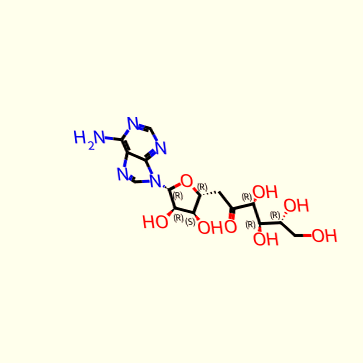 Nc1ncnc2c1ncn2[C@@H]1O[C@H](CC(=O)[C@H](O)[C@H](O)[C@H](O)CO)[C@@H](O)[C@H]1O